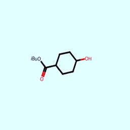 CC(C)COC(=O)C1CCC(O)CC1